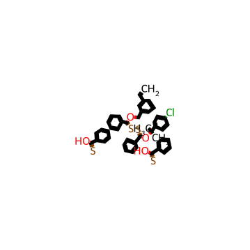 C=Cc1cccc(COC(=S)c2ccccc2)c1.CC(C)(OC(=S)c1ccccc1)c1ccc(Cl)cc1.OC(=S)c1ccccc1.OC(=S)c1ccccc1